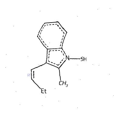 CC/C=C\c1c(C)n(S)c2ccccc12